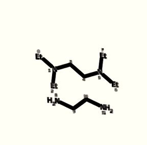 CCN(CC)CCN(CC)CC.NCCN